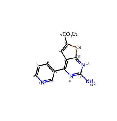 CCOC(=O)c1cc2c(-c3cccnc3)nc(N)nc2s1